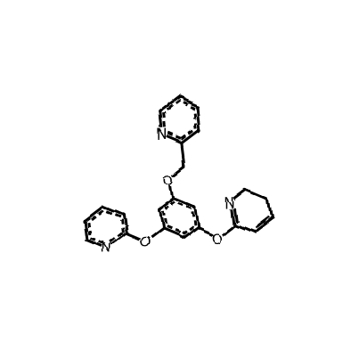 C1=CC(Oc2cc(OCc3ccccn3)cc(Oc3ccccn3)c2)=NCC1